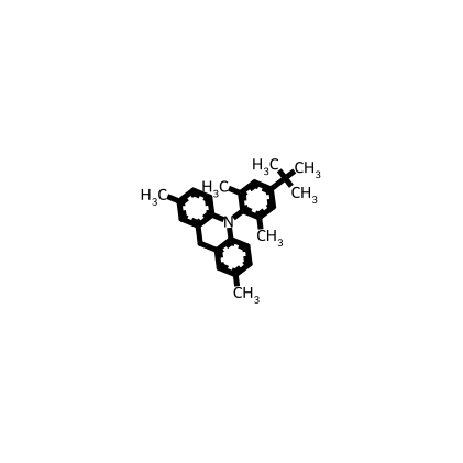 Cc1ccc2c(c1)Cc1cc(C)ccc1N2c1c(C)cc(C(C)(C)C)cc1C